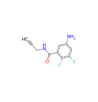 C#CCNC(=O)c1cc(N)cc(F)c1F